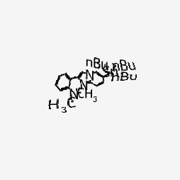 CCC[CH2][Sn]([CH2]CCC)([CH2]CCC)[c]1ccc2nc(-c3ccccc3N(C)C)cn2c1